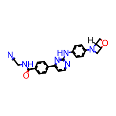 N#CCNC(=O)c1ccc(-c2ccnc(Nc3ccc(N4CC5OC[C@H]54)cc3)n2)cc1